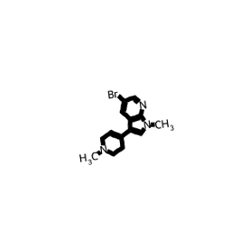 CN1CC=C(c2cn(C)c3ncc(Br)cc23)CC1